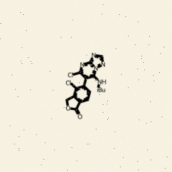 CCC(C)Nc1c(-c2ccc3c(c2Cl)COC3=O)c(Cl)nc2ncnn12